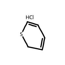 C1=CCSC=C1.Cl